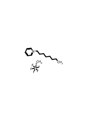 C.CCCCCCCC[n+]1ccccc1.F[P-](F)(F)(F)(F)F